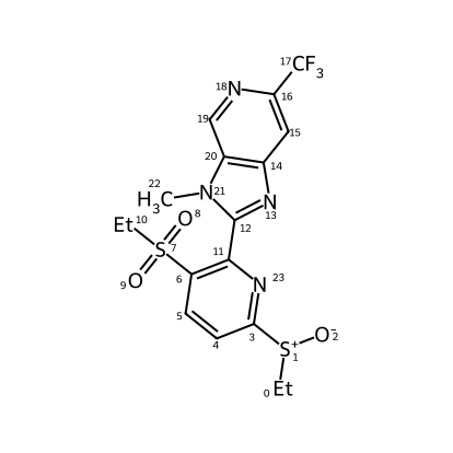 CC[S+]([O-])c1ccc(S(=O)(=O)CC)c(-c2nc3cc(C(F)(F)F)ncc3n2C)n1